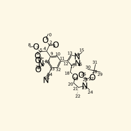 COC(=O)C(C(=O)OC)c1cc(-c2cn(C)nc2COC[C@@H](C)N(C)C(=O)OC(C)(C)C)cc(C#N)c1[N+](=O)[O-]